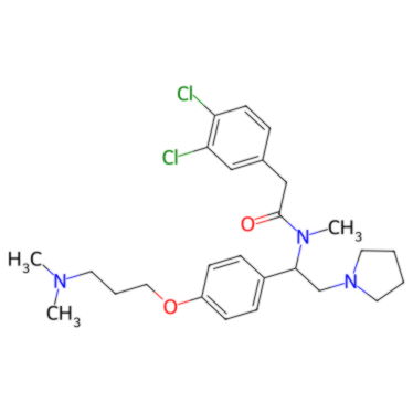 CN(C)CCCOc1ccc(C(CN2CCCC2)N(C)C(=O)Cc2ccc(Cl)c(Cl)c2)cc1